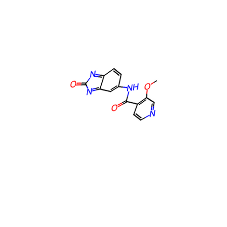 COc1cnccc1C(=O)Nc1ccc2c(c1)=NC(=O)N=2